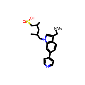 CNCc1cn(CC(C)CC(C)CS(=O)O)c2cc(-c3ccncc3)ccc12